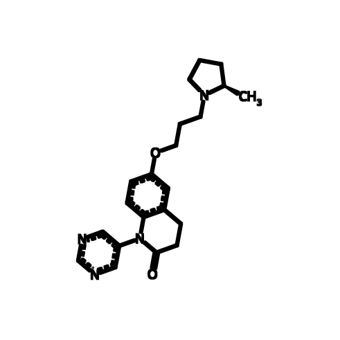 C[C@@H]1CCCN1CCCOc1ccc2c(c1)CCC(=O)N2c1cncnc1